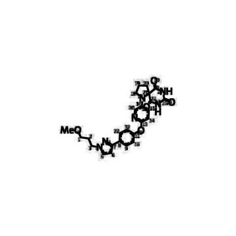 COCCCn1ccc(-c2ccc(Oc3ccc(N4CCCC45C(=O)NC(=O)NC5=O)cn3)cc2)n1